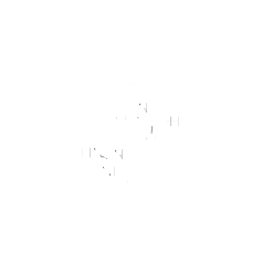 CC(O)CN(CC(C)O)[C@@H](CCCNC(=N)N)C(=O)O